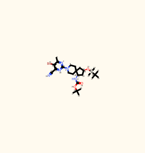 Cc1nc(N2CCC3(CC2)C[C@@H](O[Si](C)(C)C(C)(C)C)C[C@H]3NC(=O)OC(C)(C)C)nc(C#N)c1Br